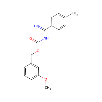 COc1cccc(COC(=O)NC(=N)c2ccc(C)cc2)c1